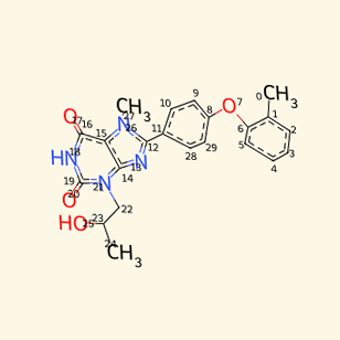 Cc1ccccc1Oc1ccc(-c2nc3c(c(=O)[nH]c(=O)n3CC(C)O)n2C)cc1